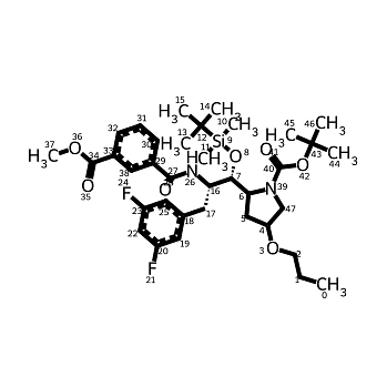 CCCOC1CC([C@@H](O[Si](C)(C)C(C)(C)C)[C@H](Cc2cc(F)cc(F)c2)NC(=O)c2cccc(C(=O)OC)c2)N(C(=O)OC(C)(C)C)C1